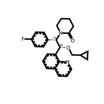 O=C1CCCCN1[C@@H](c1ccc(F)cc1)[C@H](OCC1CC1)c1cccc2cccnc12